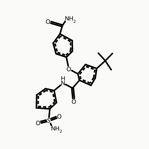 CC(C)(C)c1ccc(C(=O)Nc2cccc(S(N)(=O)=O)c2)c(Oc2ccc(C(N)=O)cc2)c1